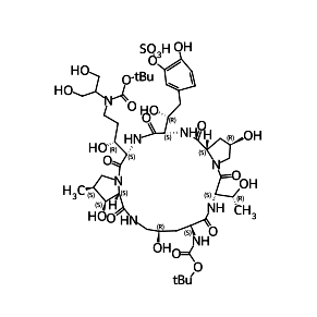 C[C@@H](O)[C@@H]1NC(=O)[C@@H](NC(=O)OC(C)(C)C)C[C@@H](O)CNC(=O)[C@@H]2[C@@H](O)[C@@H](C)CN2C(=O)[C@H]([C@H](O)CCN(C(=O)OC(C)(C)C)C(CO)CO)NC(=O)[C@H]([C@H](O)Cc2ccc(O)c(OS(=O)(=O)O)c2)NC(=O)[C@@H]2C[C@@H](O)CN2C1=O